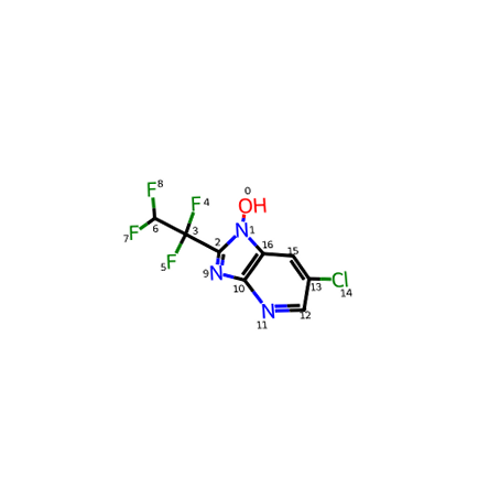 On1c(C(F)(F)C(F)F)nc2ncc(Cl)cc21